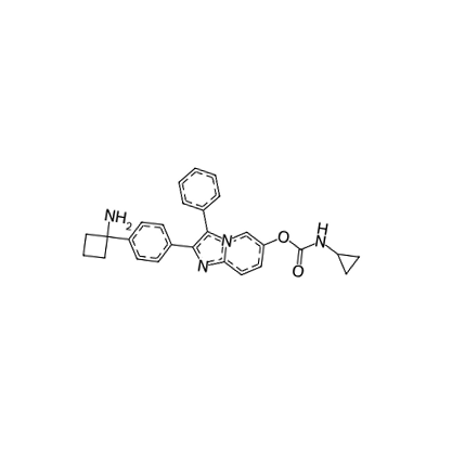 NC1(c2ccc(-c3nc4ccc(OC(=O)NC5CC5)cn4c3-c3ccccc3)cc2)CCC1